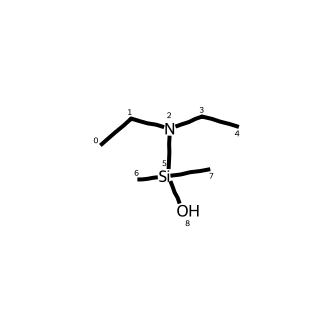 CCN(CC)[Si](C)(C)O